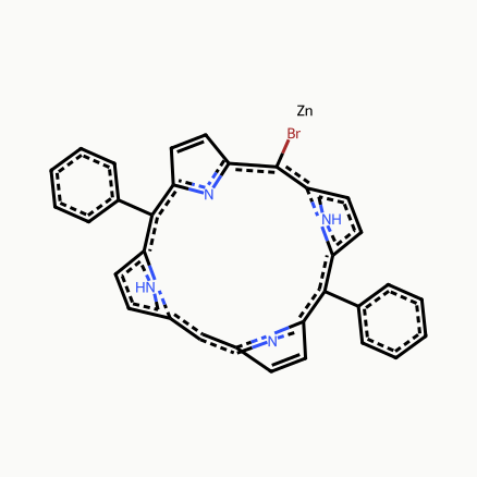 Brc1c2nc(c(-c3ccccc3)c3ccc(cc4nc(c(-c5ccccc5)c5ccc1[nH]5)C=C4)[nH]3)C=C2.[Zn]